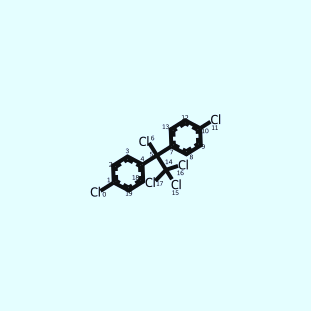 Clc1ccc(C(Cl)(c2ccc(Cl)cc2)C(Cl)(Cl)Cl)cc1